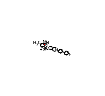 Cc1ccc(C(O)(CN2CCC3(CCN(c4ccc(-c5ccc(F)cc5)cc4)CC3)C2)Cn2cncn2)c(F)c1